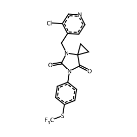 O=C1N(c2ccc(SC(F)(F)F)cc2)C(=O)C2(CC2)N1Cc1ccncc1Cl